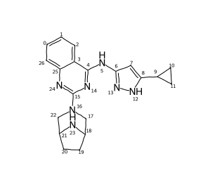 c1ccc2c(Nc3cc(C4CC4)[nH]n3)nc(N3CC4CCC(C3)N4)nc2c1